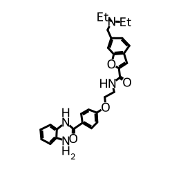 CCN(CC)Cc1ccc2cc(C(=O)NCCOc3ccc(C(=O)Nc4ccccc4N)cc3)oc2c1